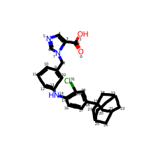 O=C(O)c1cncn1Cc1cccc(Nc2ccc(C34CC5CC(CC(C5)C3)C4)cc2Cl)c1